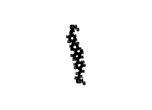 C/C=C/C1CCC(C2CCC(C3=CCC(C4CCC(CCCCC)CC4)C=C3F)CC2)CC1